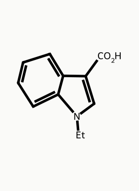 CCn1cc(C(=O)O)c2ccccc21